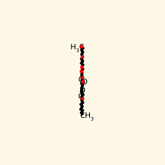 CCCCCCCCCCCCCCCCOC(=O)CCCOCCOCCCCCCCCC